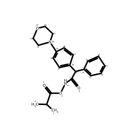 CC(C)C(=O)ONC(=O)C(c1ccccc1)c1ccc(N2CCOCC2)cc1